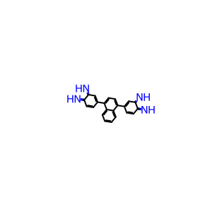 N=C1C=CC(c2ccc(C3=CC(=N)C(=N)C=C3)c3ccccc23)=CC1=N